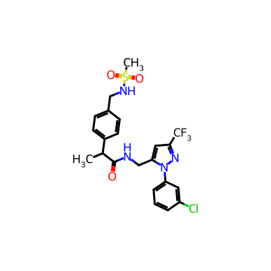 CC(C(=O)NCc1cc(C(F)(F)F)nn1-c1cccc(Cl)c1)c1ccc(CNS(C)(=O)=O)cc1